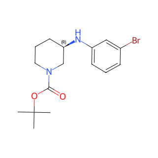 CC(C)(C)OC(=O)N1CCC[C@@H](Nc2cccc(Br)c2)C1